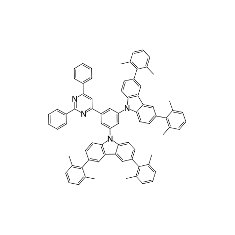 Cc1cccc(C)c1-c1ccc2c(c1)c1cc(-c3c(C)cccc3C)ccc1n2-c1cc(-c2cc(-c3ccccc3)nc(-c3ccccc3)n2)cc(-n2c3ccc(-c4c(C)cccc4C)cc3c3cc(-c4c(C)cccc4C)ccc32)c1